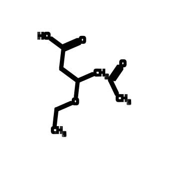 CC=O.CCOC(C)CC(=O)O